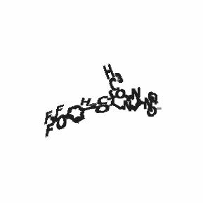 CC[C@]1(C)Oc2nc([N+](=O)[O-])cn2C[C@@H]1OCc1ccc(OC(F)(F)F)cc1